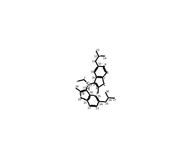 CC[SiH](C1=C(C)[CH]c2ccc(CC(C)C)cc21)C1=C(C)[CH]c2ccc(CC(C)C)cc21